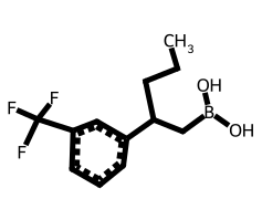 CCCC(CB(O)O)c1cccc(C(F)(F)F)c1